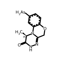 C[C@@H]1C(=O)NN=C2COc3ccc([AsH2])cc3N21